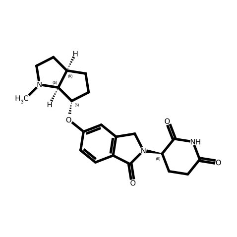 CN1CC[C@H]2CC[C@H](Oc3ccc4c(c3)CN([C@@H]3CCC(=O)NC3=O)C4=O)[C@H]21